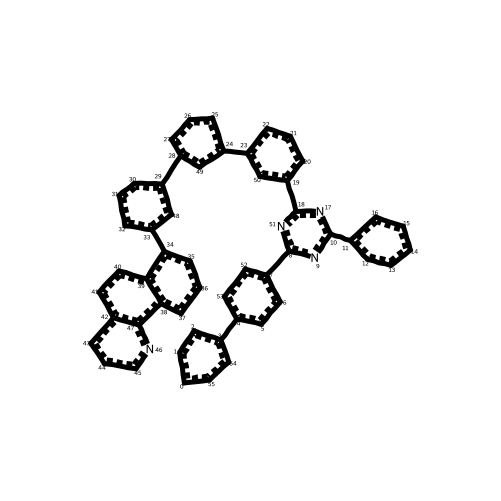 c1ccc(-c2ccc(-c3nc(-c4ccccc4)nc(-c4cccc(-c5cccc(-c6cccc(-c7cccc8c7ccc7cccnc78)c6)c5)c4)n3)cc2)cc1